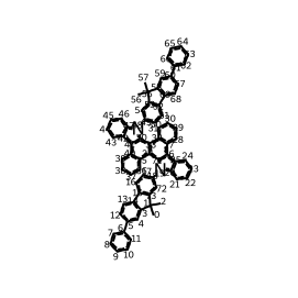 CC1(C)c2cc(-c3ccccc3)ccc2-c2ccc(-n3c4ccccc4c4c5ccccc5c5c(c6ccccc6c6c7ccccc7n(-c7ccc8c(c7)C(C)(C)c7cc(-c9ccccc9)ccc7-8)c65)c43)cc21